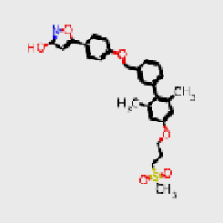 Cc1cc(OCCCS(C)(=O)=O)cc(C)c1-c1cccc(COc2ccc(-c3cc(O)no3)cc2)c1